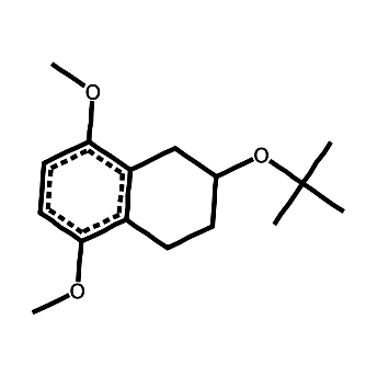 COc1ccc(OC)c2c1CCC(OC(C)(C)C)C2